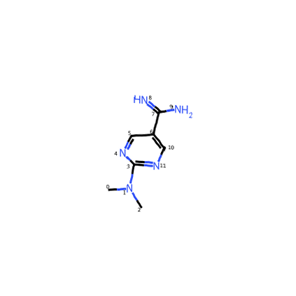 CN(C)c1ncc(C(=N)N)cn1